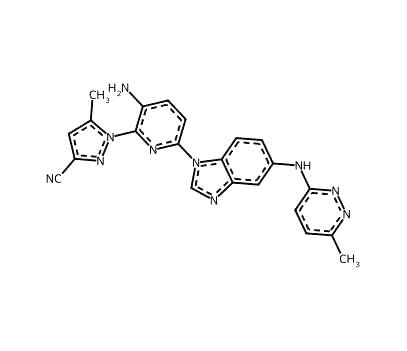 Cc1ccc(Nc2ccc3c(c2)ncn3-c2ccc(N)c(-n3nc(C#N)cc3C)n2)nn1